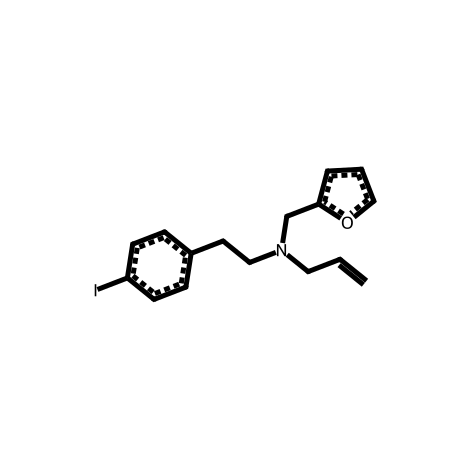 C=CCN(CCc1ccc(I)cc1)Cc1ccco1